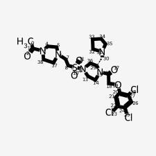 CC(=O)N1CCN(CCS(=O)(=O)N2CCN(C(=O)COc3cc(Cl)c(Cl)cc3Cl)[C@@H](CN3CCCC3)C2)CC1